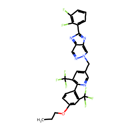 CCCOc1ccc(-c2ncc(Cn3cc4nc(-c5cccc(F)c5F)nc-4cn3)cc2C(F)(F)F)c(C(F)(F)F)c1